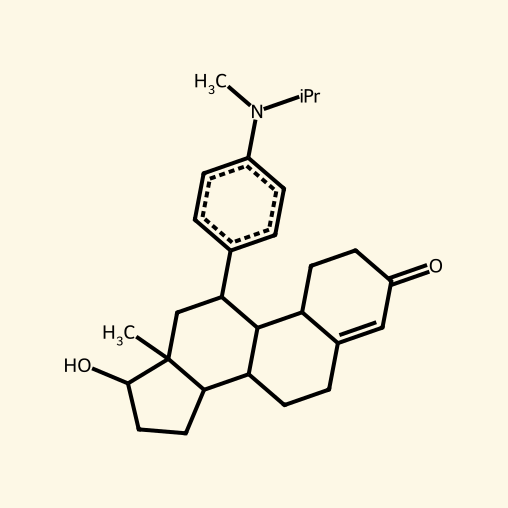 CC(C)N(C)c1ccc(C2CC3(C)C(O)CCC3C3CCC4=CC(=O)CCC4C23)cc1